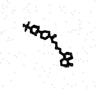 O=C1NCCc2c(CCOCCC(=O)N3CCN(c4ncc(C(F)(F)F)cn4)CC3)cccc21